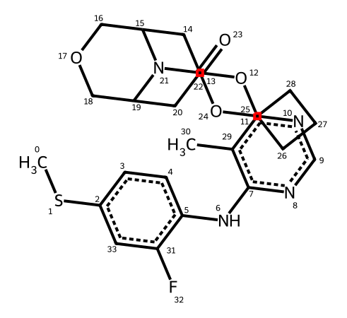 CSc1ccc(Nc2ncnc(OC3CC4COCC(C3)N4C(=O)OC3CCC3)c2C)c(F)c1